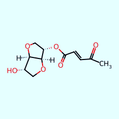 CC(=O)/C=C/C(=O)O[C@H]1CO[C@H]2[C@@H]1OC[C@@H]2O